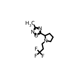 Cc1noc(C2CCCN2CCC(F)(F)F)n1